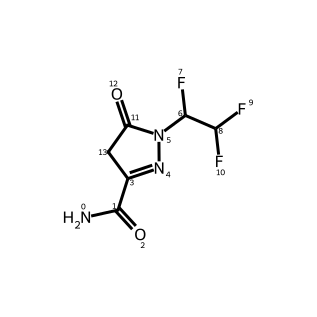 NC(=O)C1=NN(C(F)C(F)F)C(=O)C1